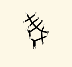 O=C1OC(=O)C(F)(C(F)(F)C(F)(F)F)C(F)(F)C1(F)F